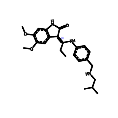 CC/C(Nc1ccc(CNCC(C)C)cc1)=C1/C(=O)Nc2cc(OC)c(OC)cc21